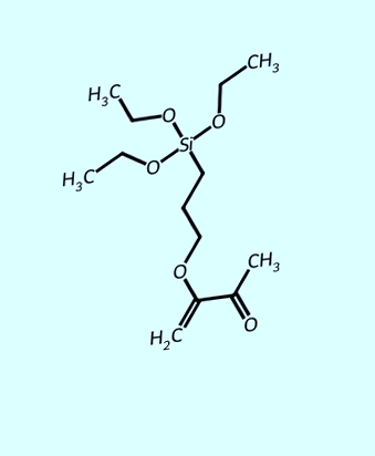 C=C(OCCC[Si](OCC)(OCC)OCC)C(C)=O